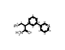 CC(C)CC(C(N)=O)c1cccc(-c2cccnc2)c1